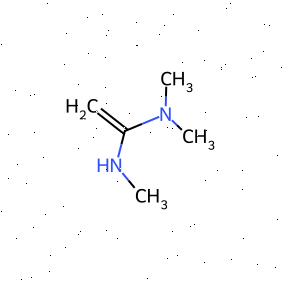 C=C(NC)N(C)C